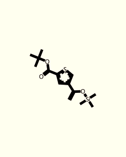 C=C(O[Si](C)(C)C)c1csc(C(=O)OC(C)(C)C)c1